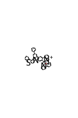 C=CC1(C)[n+]2ccccc2-c2cc3c4cc(-c5ccccc5)cc5c6c7c(ccc6n(c3cc2C1(C)C1c2ccccc2-c2cccc[n+]21)c45)sc1ccccc17